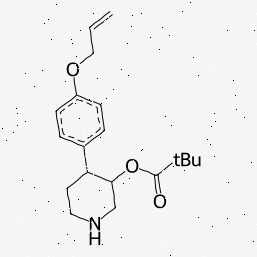 C=CCOc1ccc(C2CCNCC2OC(=O)C(C)(C)C)cc1